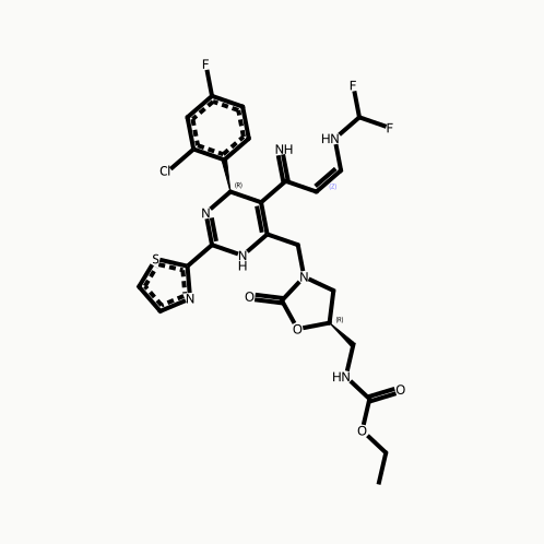 CCOC(=O)NC[C@@H]1CN(CC2=C(C(=N)/C=C\NC(F)F)[C@H](c3ccc(F)cc3Cl)N=C(c3nccs3)N2)C(=O)O1